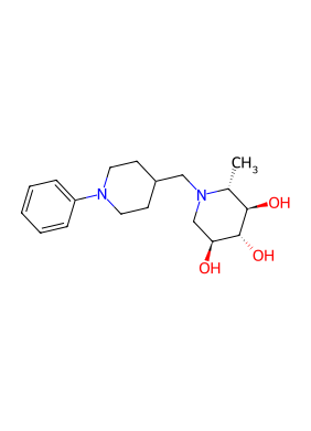 C[C@@H]1[C@@H](O)[C@H](O)[C@@H](O)CN1CC1CCN(c2ccccc2)CC1